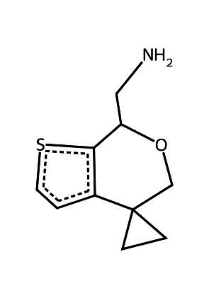 NCC1OCC2(CC2)c2ccsc21